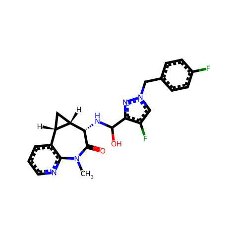 CN1C(=O)[C@@H](NC(O)c2nn(Cc3ccc(F)cc3)cc2F)[C@H]2C[C@H]2c2cccnc21